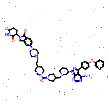 Nc1ncnc2c1c(-c1ccc(Oc3ccccc3)cc1)nn2C1CCCN(CC2CCN(C(=O)N3CCC(CCN4CCN(c5ccc6c(c5)CN(C5CCC(=O)NC5=O)C6=O)CC4)CC3)CC2)C1